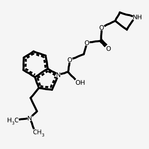 CN(C)CCc1cn(C(O)OCOC(=O)OC2CNC2)c2ccccc12